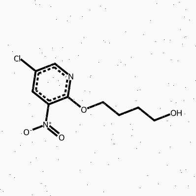 O=[N+]([O-])c1cc(Cl)cnc1OCCCCO